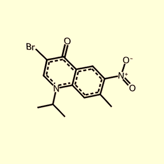 Cc1cc2c(cc1[N+](=O)[O-])c(=O)c(Br)cn2C(C)C